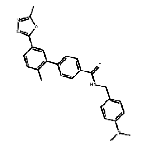 Cc1nnc(-c2ccc(C)c(-c3ccc(C(=O)NCc4ccc(N(C)C)cc4)cc3)c2)o1